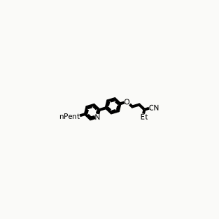 CCCCCc1ccc(-c2ccc(OCCC(C#N)CC)cc2)nc1